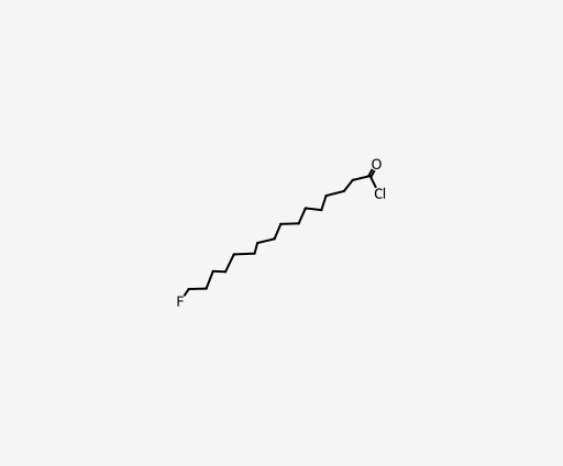 O=C(Cl)CCCCCCCCCCCCCCCF